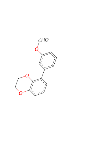 O=COc1cccc(-c2cccc3c2OCCO3)c1